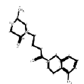 C[C@H]1CN(C[CH]CC(=O)N2CCc3c(cccc3C(F)(F)F)C2)C(=O)CO1